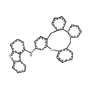 c1ccc2c(c1)Cc1ccccc1-c1ccccc1Cc1ccc(Nc3cccc4sc5ccccc5c34)cc1O2